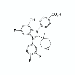 CC1(c2c(-c3ccc(C(=O)O)cc3)c3c(O)cc(F)cc3n2-c2ccc(F)c(F)c2)CCOCC1